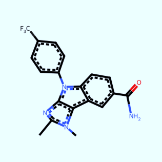 Cc1nc2c(c3cc(C(N)=O)ccc3n2-c2ccc(C(F)(F)F)cc2)n1C